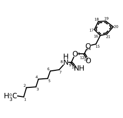 CCCCCCCCNC(=N)OC(=O)OCc1ccccc1